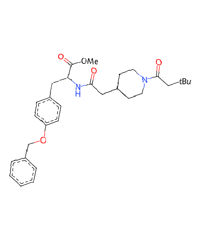 COC(=O)C(Cc1ccc(OCc2ccccc2)cc1)NC(=O)CC1CCN(C(=O)CC(C)(C)C)CC1